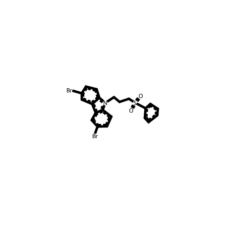 O=S(=O)(CCCn1c2ccc(Br)cc2c2cc(Br)ccc21)c1ccccc1